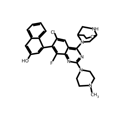 CN1CCN(c2nc(N3CC4CCCC3CN4)c3cc(Cl)c(-c4cc(O)cc5ccccc45)c(F)c3n2)CC1